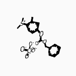 Cc1cc(OC(=O)OCc2ccccc2)ccc1[S+](C)C.[O-][Cl+3]([O-])([O-])[O-]